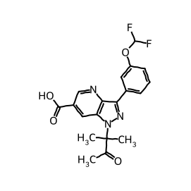 CC(=O)C(C)(C)n1nc(-c2cccc(OC(F)F)c2)c2ncc(C(=O)O)cc21